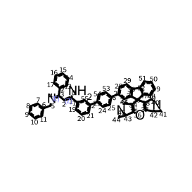 N/C(=C\C(=N/Cc1ccccc1)c1ccccc1)c1cccc(-c2ccc(-c3ccc4c(c3)C3(C5=C(OC6=C3CN3CC63)C3CN3C5)c3ccccc3-4)cc2)c1